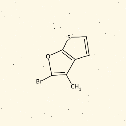 Cc1c(Br)oc2sccc12